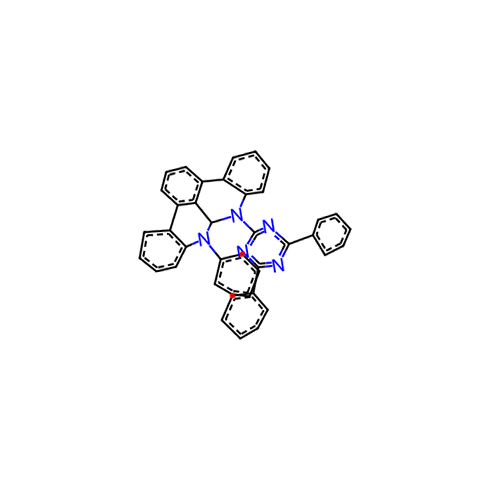 c1ccc(-c2nc(-c3ccccc3)nc(N3c4ccccc4-c4cccc5c4C3N(c3ccccc3)c3ccccc3-5)n2)cc1